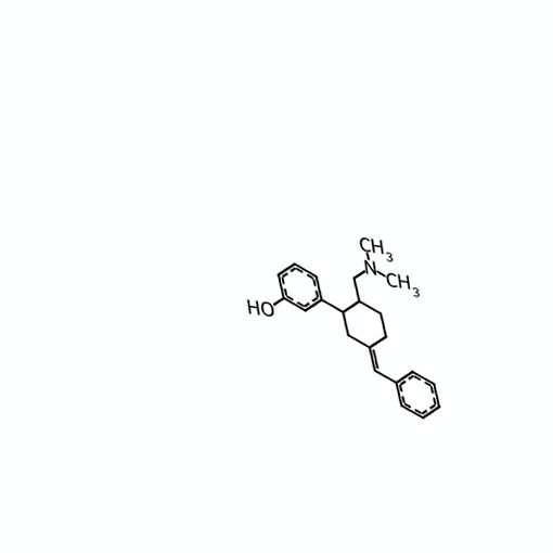 CN(C)CC1CC/C(=C\c2ccccc2)CC1c1cccc(O)c1